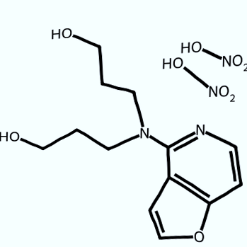 O=[N+]([O-])O.O=[N+]([O-])O.OCCCN(CCCO)c1nccc2occc12